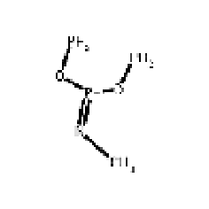 CN=[PH](OP)OP